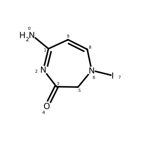 NC1=NC(=O)CN(I)C=C1